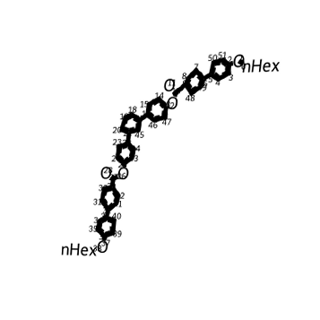 CCCCCCOc1ccc(-c2ccc(C(=O)Oc3ccc(-c4cccc(-c5ccc(OC(=O)c6ccc(-c7ccc(OCCCCCC)cc7)cc6)cc5)c4)cc3)cc2)cc1